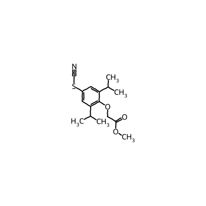 COC(=O)COc1c(C(C)C)cc(SC#N)cc1C(C)C